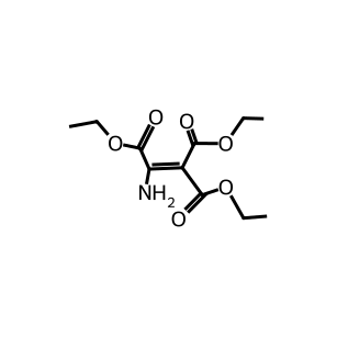 CCOC(=O)C(N)=C(C(=O)OCC)C(=O)OCC